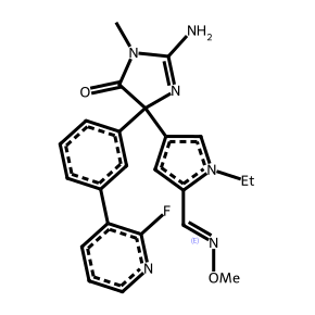 CCn1cc(C2(c3cccc(-c4cccnc4F)c3)N=C(N)N(C)C2=O)cc1/C=N/OC